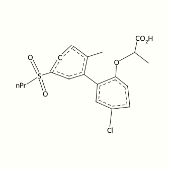 CCCS(=O)(=O)c1ccc(C)c(-c2cc(Cl)ccc2OC(C)C(=O)O)c1